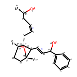 CC[C@@H](O)C/C=C\C[C@@H]1C(/C=C/C(O)c2ccccc2)[C@@H]2CC[C@H]1O2